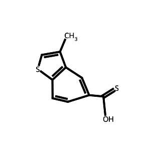 Cc1csc2ccc(C(O)=S)cc12